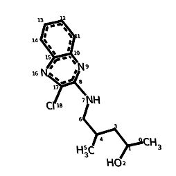 CC(O)CC(C)CNc1nc2ccccc2nc1Cl